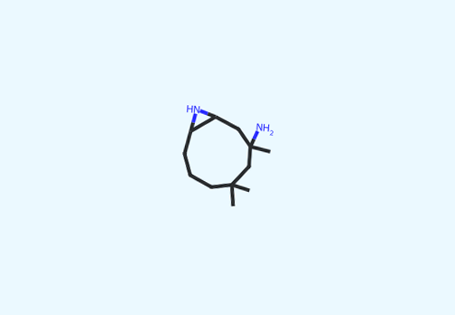 CC1(C)CCCC2NC2CC(C)(N)C1